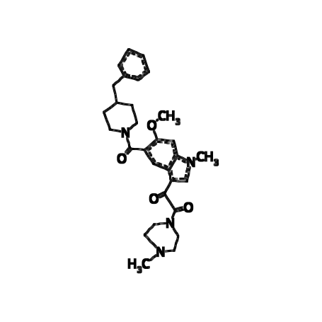 COc1cc2c(cc1C(=O)N1CCC(Cc3ccccc3)CC1)c(C(=O)C(=O)N1CCN(C)CC1)cn2C